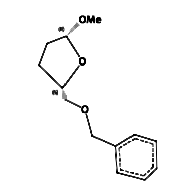 CO[C@H]1CC[C@@H](COCc2ccccc2)O1